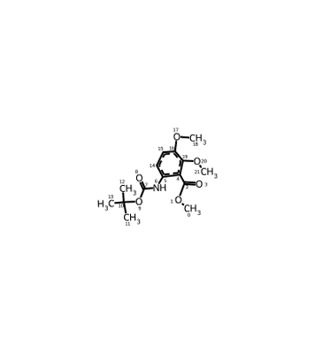 COC(=O)c1c(NC(=O)OC(C)(C)C)ccc(OC)c1OC